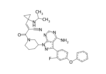 CC(C)NC1(C=C(C#N)C(=O)N2CCCC(n3nc(-c4ccc(Oc5ccccc5)cc4F)c4c(N)ncnc43)C2)CC1